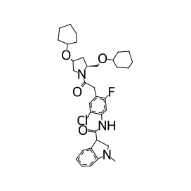 CN1CC(C(=O)Nc2cc(F)c(CC(=O)N3C[C@@H](OC4CCCCC4)C[C@H]3COC3CCCCC3)cc2Cl)c2ccccc21